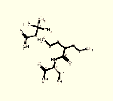 CC(C)(C)CC(=O)O.CCCC(CCC)C(=O)N[C@@H](CS)C(=O)O